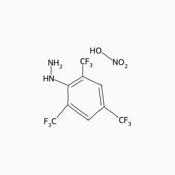 NNc1c(C(F)(F)F)cc(C(F)(F)F)cc1C(F)(F)F.O=[N+]([O-])O